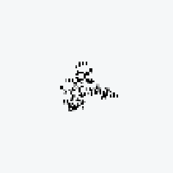 O.OC[C@H]1O[C@@](CO)(O[C@H]2O[C@H](CO)[C@@H](O)[C@H](O)[C@H]2O)[C@@H](O)[C@@H]1O.[KH].[MgH2].[O-][Cl+2]([O-])O.[O-][Cl+2]([O-])O